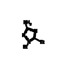 CCc1nc(N)nn1CC